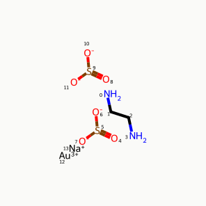 NCCN.O=S([O-])[O-].O=S([O-])[O-].[Au+3].[Na+]